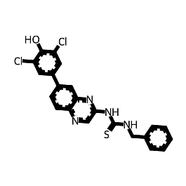 Oc1c(Cl)cc(-c2ccc3ncc(NC(=S)NCc4ccccc4)nc3c2)cc1Cl